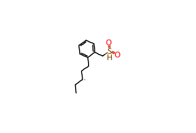 CC[CH]CCc1ccccc1C[SH](=O)=O